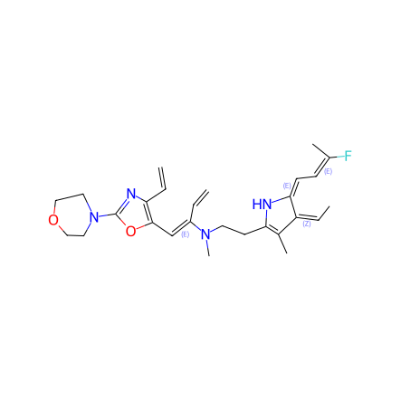 C=C/C(=C\c1oc(N2CCOCC2)nc1C=C)N(C)CCc1[nH]c(=C/C=C(\C)F)/c(=C\C)c1C